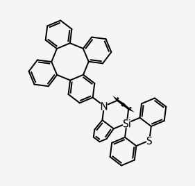 c1ccc2c(c1)Sc1ccccc1[Si]21c2ccccc2N(c2ccc3c(c2)-c2ccccc2-c2ccccc2-c2ccccc2-3)c2ccccc21